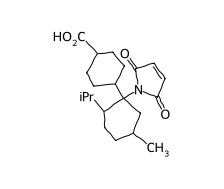 CC1CCC(C(C)C)C(C2CCC(C(=O)O)CC2)(N2C(=O)C=CC2=O)C1